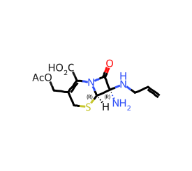 C=CCN[C@]1(N)C(=O)N2C(C(=O)O)=C(COC(C)=O)CS[C@@H]21